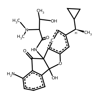 CC(O)C(C(=O)NC12C(=O)c3c(N)cccc3C1(O)Oc1cc([C@H](C)C3CC3)ccc12)N(C)C